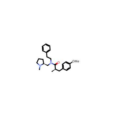 COc1ccc(C[C@@H](C)C(=O)N(CCc2ccccc2)C[C@@H]2CCCN2C)cc1